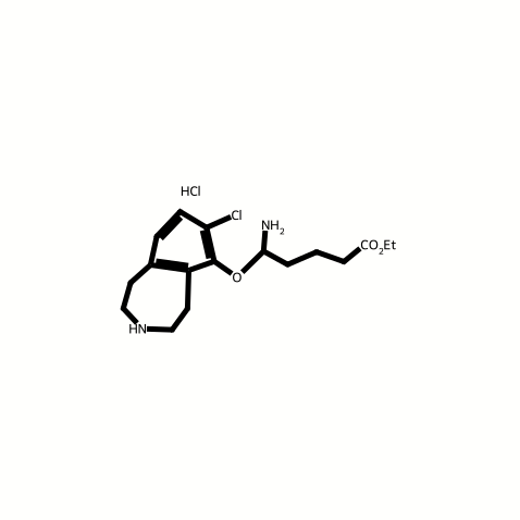 CCOC(=O)CCCC(N)Oc1c(Cl)ccc2c1CCNCC2.Cl